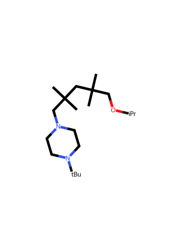 CC(C)OCC(C)(C)CC(C)(C)CN1CCN(C(C)(C)C)CC1